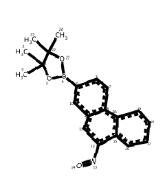 CC1(C)OB(c2ccc3c(c2)cc(N=O)c2ccccc23)OC1(C)C